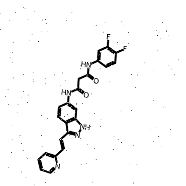 O=C(CC(=O)Nc1ccc2c(C=Cc3ccccn3)n[nH]c2c1)Nc1ccc(F)c(F)c1